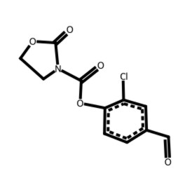 O=Cc1ccc(OC(=O)N2CCOC2=O)c(Cl)c1